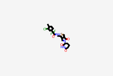 Cc1ccc(C(F)(F)C(=O)NCc2scc3c2CN([C@H]2CCCC(=O)NC2=O)C3=O)cc1Cl